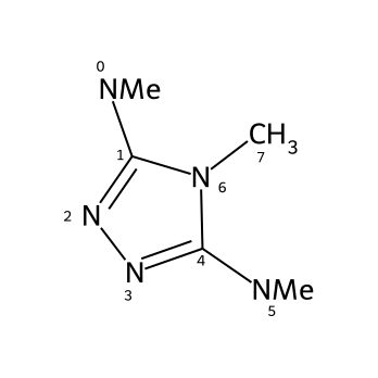 CNc1nnc(NC)n1C